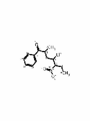 CCC(C(Cl)CC(C)C(=O)c1ccccc1)[N+](=O)[O-]